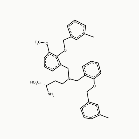 Cc1cccc(COc2ccccc2CN(CC[C@H](N)C(=O)O)Cc2cccc(OC(F)(F)F)c2OCc2cccc(C)c2)c1